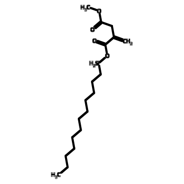 C=C(CC(=O)OC)C(=O)O[SiH2]CCCCCCCCCCCC